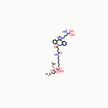 B[C@H]1CC(OP(=O)(O)OCCCCCCNC(=O)CCC(=O)N2Cc3ccccc3-c3c(nnn3CCCC(NC)C(O)O)-c3ccccc32)[C@@H](COC(C)C)O1